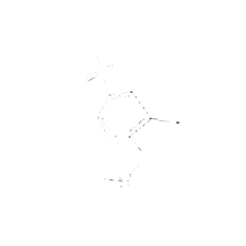 CCCCCCOc1ccc(S(C)(=O)=O)cc1C